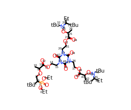 CCOP(=O)(OCC)C(COC(C)C(=O)OCCn1c(=O)n(CCOC(=O)C(C)ON(C(CC)C(C)(C)C)C(C)(C)C)c(=O)n(CCOC(=O)C(C)ON(C(CC)C(C)(C)C)C(C)(C)C)c1=O)C(C)(C)C